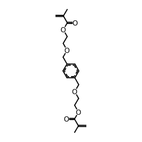 C=C(C)C(=O)OCCOCc1ccc(COCCOC(=O)C(=C)C)cc1